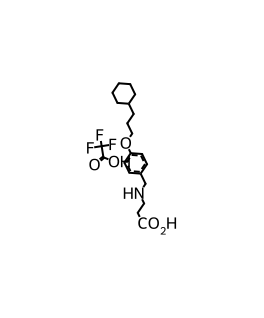 O=C(O)C(F)(F)F.O=C(O)CCNCc1ccc(OCCCC2CCCCC2)cc1